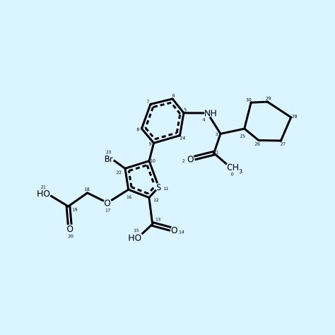 CC(=O)C(Nc1cccc(-c2sc(C(=O)O)c(OCC(=O)O)c2Br)c1)C1CCCCC1